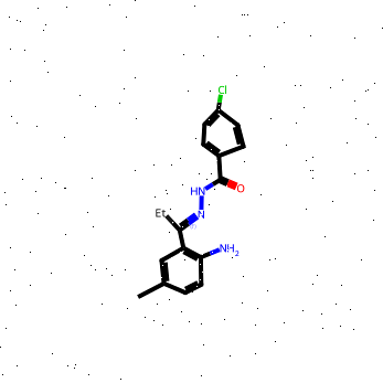 CC/C(=N\NC(=O)c1ccc(Cl)cc1)c1cc(C)ccc1N